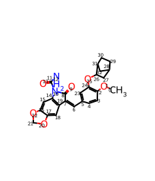 COc1ccc(C=C2C(=O)N(C(N)=O)c3cc4c(cc32)OCO4)cc1OC1CC2CCC1C2